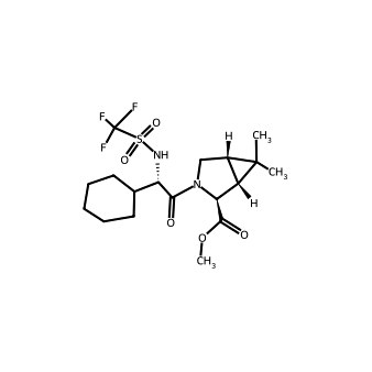 COC(=O)[C@@H]1[C@@H]2[C@H](CN1C(=O)[C@@H](NS(=O)(=O)C(F)(F)F)C1CCCCC1)C2(C)C